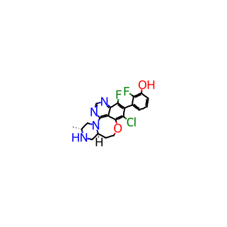 C[C@@H]1CN2c3ncnc4c(F)c(-c5cccc(O)c5F)c(Cl)c(c34)OCC[C@H]2CN1